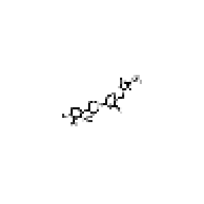 O=c1nc(N2CC=C(c3ccc(F)c(Cl)c3)[C@@H](O)C2)cnn1Cc1cnc(C(F)(F)F)s1